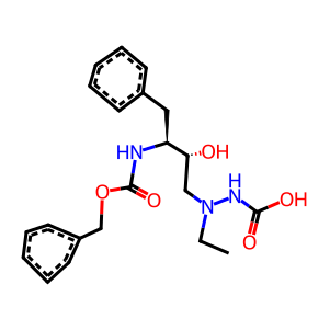 CCN(C[C@@H](O)[C@H](Cc1ccccc1)NC(=O)OCc1ccccc1)NC(=O)O